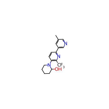 Cc1cncc(-c2ccc(N3CCCCC3O)c(C(F)(F)F)n2)c1